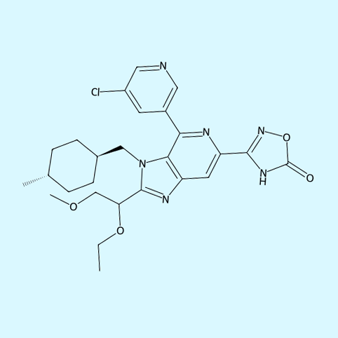 CCOC(COC)c1nc2cc(-c3noc(=O)[nH]3)nc(-c3cncc(Cl)c3)c2n1C[C@H]1CC[C@H](C)CC1